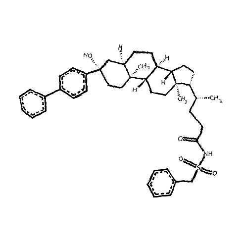 C[C@H](CCC(=O)NS(=O)(=O)Cc1ccccc1)[C@H]1CC[C@H]2[C@@H]3CC[C@@H]4C[C@](O)(c5ccc(-c6ccccc6)cc5)CC[C@]4(C)[C@H]3CC[C@]12C